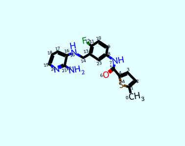 Cc1ccc(C(=O)Nc2ccc(F)c(CNc3cccnc3N)c2)s1